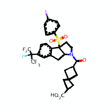 O=C(O)C1CC2(C1)CC(C(=O)N1CCC3(S(=O)(=O)c4ccc(I)cc4)c4ccc(C(F)(C(F)(F)F)C(F)(F)F)cc4CC13)C2